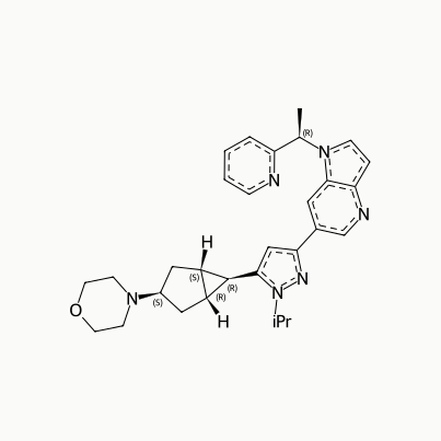 CC(C)n1nc(-c2cnc3ccn([C@H](C)c4ccccn4)c3c2)cc1[C@H]1[C@@H]2C[C@@H](N3CCOCC3)C[C@@H]21